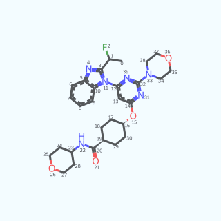 CC(F)c1nc2ccccc2n1-c1cc(O[C@H]2CC[C@H](C(=O)NC3CCOCC3)CC2)nc(N2CCOCC2)n1